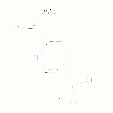 COC(=O)c1ccc(C2(C)CC2)c(F)n1